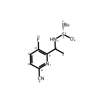 CC(N[S@@+]([O-])C(C)(C)C)c1nc(C#N)ccc1F